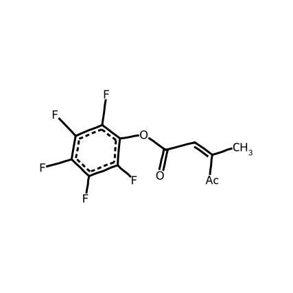 CC(=O)/C(C)=C\C(=O)Oc1c(F)c(F)c(F)c(F)c1F